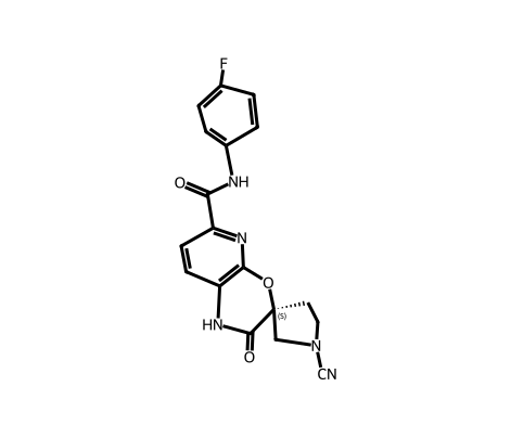 N#CN1CC[C@@]2(C1)Oc1nc(C(=O)Nc3ccc(F)cc3)ccc1NC2=O